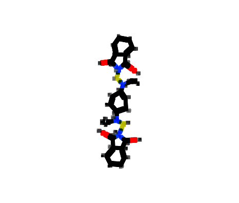 CN(SN1C(=O)c2ccccc2C1=O)c1ccc(N(C)SN2C(=O)c3ccccc3C2=O)cc1